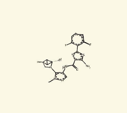 Cn1ncc(NC(=O)c2nc(-c3c(F)cccc3F)sc2N)c1N1C[C@H]2C3C2[C@H]31